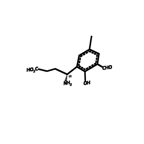 Cc1cc(C=O)c(O)c([C@H](N)CCC(=O)O)c1